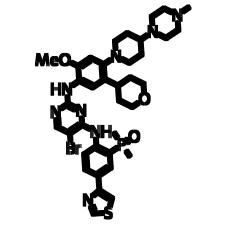 COc1cc(N2CCC(N3CCN(C)CC3)CC2)c(C2CCOCC2)cc1Nc1ncc(Br)c(Nc2ccc(-c3cscn3)cc2P(C)(C)=O)n1